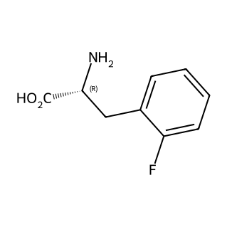 N[C@H](Cc1ccccc1F)C(=O)O